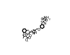 COC(=O)C(NC(=O)[C@H](Cc1ccccc1)n1cc(COc2ccc3nc(S(N)(=O)=O)sc3c2)nn1)C(C)C